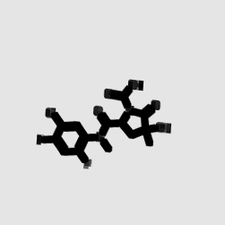 CN(C(=O)C1CC(C)(O)C(=O)N1C(=O)O)c1cc(Cl)c(F)cc1F